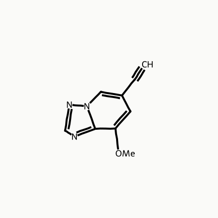 C#Cc1cc(OC)c2ncnn2c1